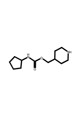 O=C(NC1CCCC1)OCC1CCNCC1